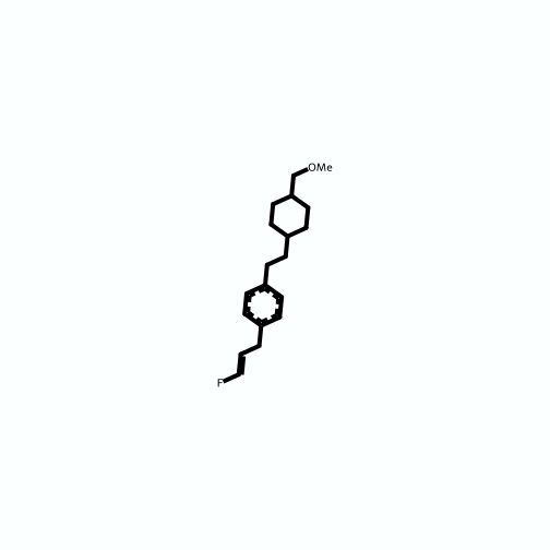 COCC1CCC(CCc2ccc(C/C=C/F)cc2)CC1